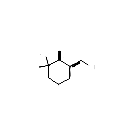 C/C=C1\CCCC(C)(C)C1=O